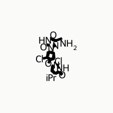 CC(C)c1cc(Oc2c(Cl)cc(-n3nc(CN)c(=O)[nH]c3=O)cc2Cl)n[nH]c1=O